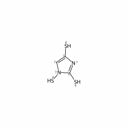 Sc1cn(S)c(S)n1